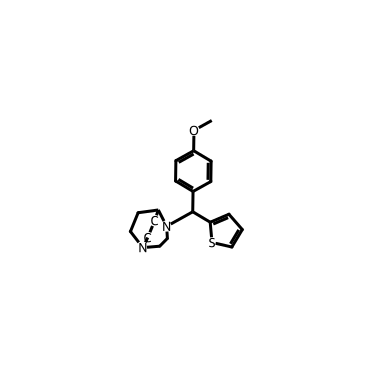 COc1ccc(C(c2cccs2)N2CCN3CCC2CC3)cc1